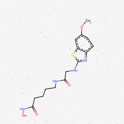 COc1ccc2nc(NCC(=O)NCCCCC(=O)NO)sc2c1